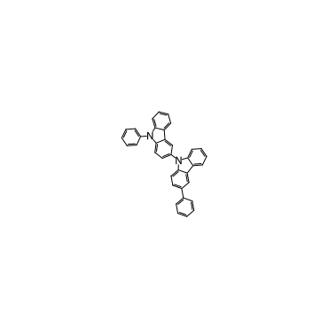 c1ccc(-c2ccc3c(c2)c2ccccc2n3-c2ccc3c(c2)c2ccccc2n3-c2ccccc2)cc1